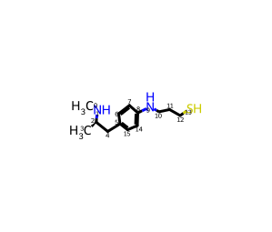 CN[C@H](C)Cc1ccc(NCCCS)cc1